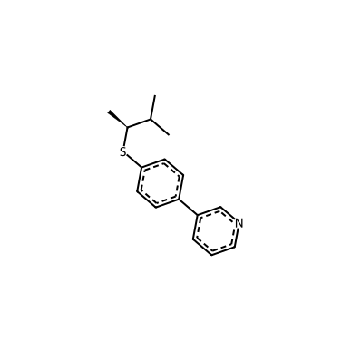 CC(C)[C@H](C)Sc1ccc(-c2cccnc2)cc1